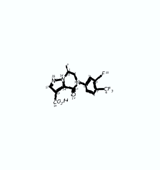 C[C@H]1CN(c2ccc(C(F)(F)F)c(F)c2)C(=O)c2c(C(=O)O)cnn21